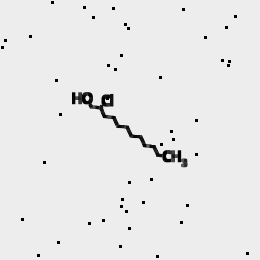 CCCCCCCCCCC(Cl)CO